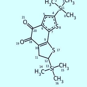 C[Si](C)(C)c1cc2c(s1)C1=C(CC([Si](C)(C)C)S1)C(=O)C2=O